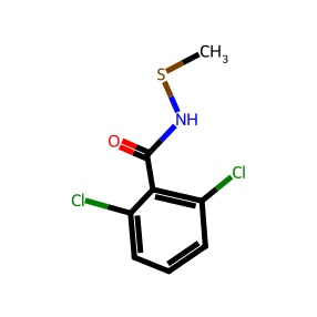 CSNC(=O)c1c(Cl)cccc1Cl